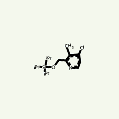 Cc1c(Cl)ccnc1CO[Si](C(C)C)(C(C)C)C(C)C